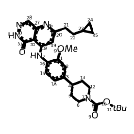 COc1cc(C2CCN(C(=O)OC(C)(C)C)CC2)ccc1Nc1cc(CCC2CC2)nc2cn[nH]c(=O)c12